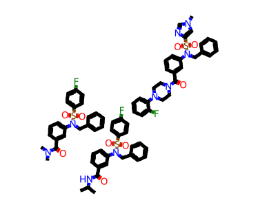 CC(C)NC(=O)c1cccc(N(Cc2ccccc2)S(=O)(=O)c2ccc(F)cc2)c1.CN(C)C(=O)c1cccc(N(Cc2ccccc2)S(=O)(=O)c2ccc(F)cc2)c1.Cn1cnc(S(=O)(=O)N(Cc2ccccc2)c2cccc(C(=O)N3CCN(c4ccccc4F)CC3)c2)c1